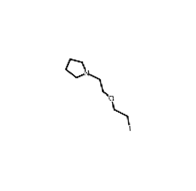 ICCOCCN1CCCC1